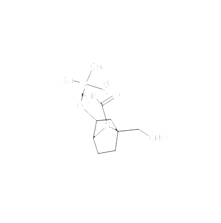 BC(=O)N1C2CCC1(CC=O)CC2O[Si](C)(C)C(C)(C)C